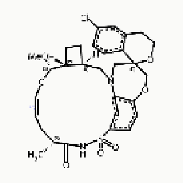 CO[C@H]1C/C=C\C[C@@H](C)C(=O)NS(=O)(=O)c2ccc3c(c2)N(C[C@@H]2CC[C@H]21)C[C@]1(CO3)OCCc2cc(Cl)ccc21